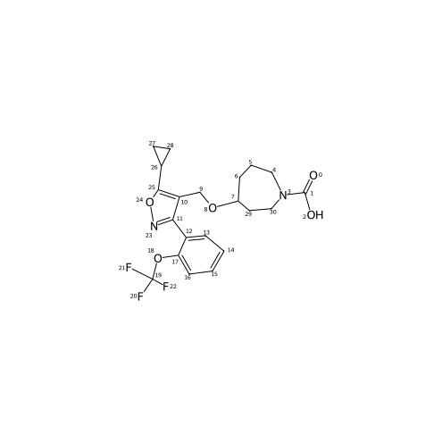 O=C(O)N1CCCC(OCc2c(-c3ccccc3OC(F)(F)F)noc2C2CC2)CC1